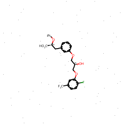 CC(C)O[C@@H](Cc1cccc(OC[C@@H](O)COc2cc(C(F)(F)F)ccc2F)c1)C(=O)O